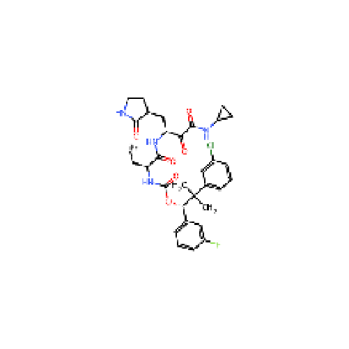 CC(C)C[C@H](NC(=O)O[C@@H](c1cccc(F)c1)C(C)(C)c1cccc(Cl)c1)C(=O)N[C@@H](C[C@@H]1CCNC1=O)C(=O)C(=O)NC1CC1